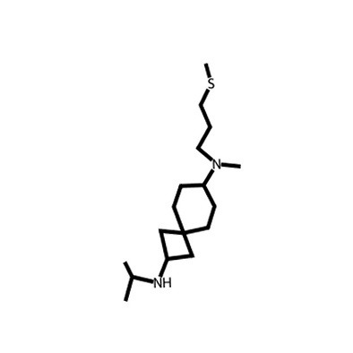 CSCCCN(C)C1CCC2(CC1)CC(NC(C)C)C2